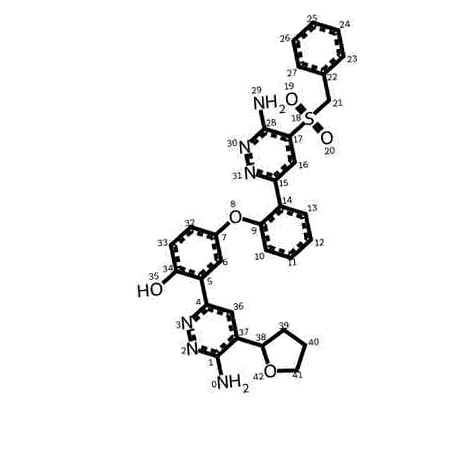 Nc1nnc(-c2cc(Oc3ccccc3-c3cc(S(=O)(=O)Cc4ccccc4)c(N)nn3)ccc2O)cc1C1CCCO1